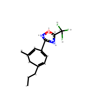 CCCC1=CC=C(c2noc(C(F)(F)F)n2)C=C(C)C1